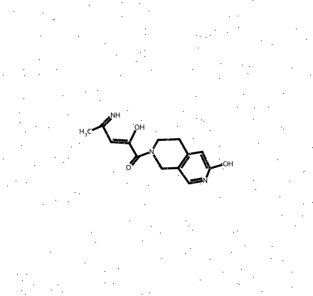 CC(=N)/C=C(\O)C(=O)N1CCc2cc(O)ncc2C1